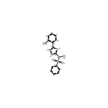 O=S(=O)(c1ccccc1)N(Cl)c1nnc(-c2ccccc2Cl)s1